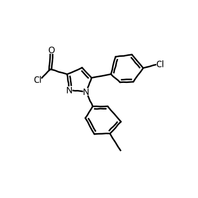 Cc1ccc(-n2nc(C(=O)Cl)cc2-c2ccc(Cl)cc2)cc1